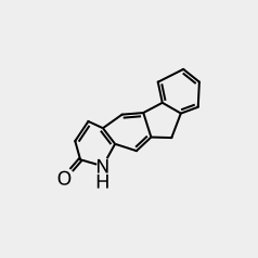 O=c1ccc2cc3c(cc2[nH]1)Cc1ccccc1-3